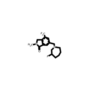 CN1Cc2c(cc(CN3CCCCC(F)C3)cc2C(F)(F)F)C1=O